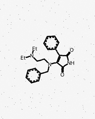 CCN(CC)CCN(Cc1ccccc1)C1=C(c2ccccc2)C(=O)NC1=O